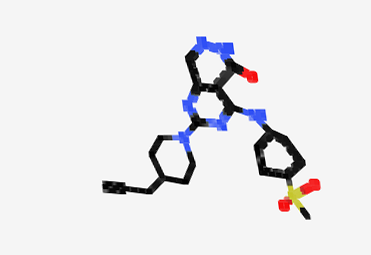 C#CCC1CCN(c2nc(Nc3ccc(S(C)(=O)=O)cc3)c3c(=O)[nH]ncc3n2)CC1